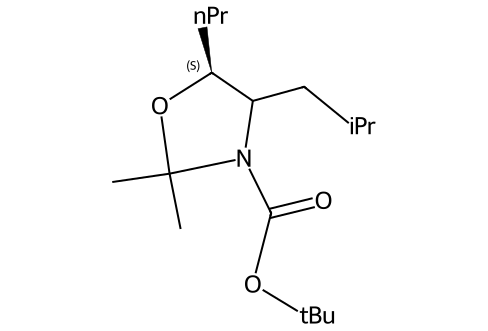 CCC[C@@H]1OC(C)(C)N(C(=O)OC(C)(C)C)C1CC(C)C